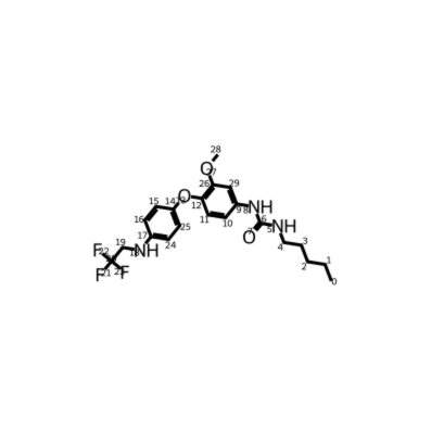 CCCCCNC(=O)Nc1ccc(Oc2ccc(NCC(F)(F)F)cc2)c(OC)c1